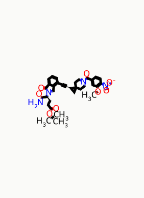 COc1cc(C(=O)N2CCC3(CC2)C[C@@H]3C#Cc2cccc3c2CN([C@@H](CCC(=O)OC(C)(C)C)C(N)=O)C3=O)ccc1[N+](=O)[O-]